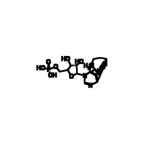 NC1=NC23C=NC4=C1N=CN(C1OC(COP(=O)(O)O)C(O)C1O)C4(CCCCC2)CCC3